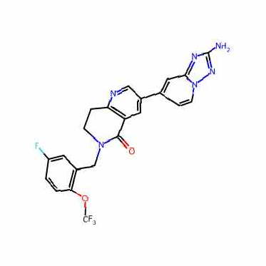 Nc1nc2cc(-c3cnc4c(c3)C(=O)N(Cc3cc(F)ccc3OC(F)(F)F)CC4)ccn2n1